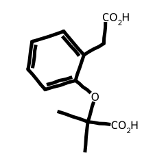 CC(C)(Oc1ccccc1CC(=O)O)C(=O)O